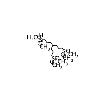 CO[SiH](CCCC(CCC[SiH](OC)OC)CCC[SiH](OC)OC)OC